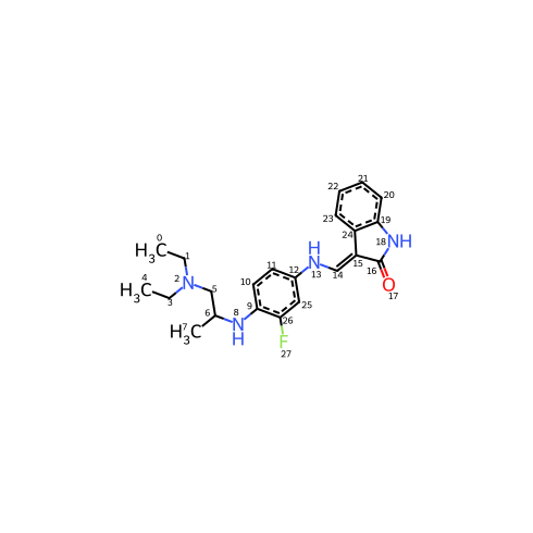 CCN(CC)CC(C)Nc1ccc(N/C=C2/C(=O)Nc3ccccc32)cc1F